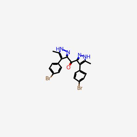 Cc1[nH]nc(C(=O)c2n[nH]c(C)c2-c2ccc(Br)cc2)c1-c1ccc(Br)cc1